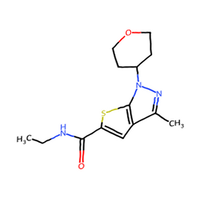 CCNC(=O)c1cc2c(C)nn(C3CCOCC3)c2s1